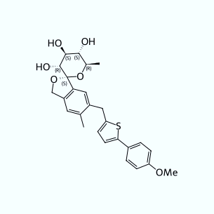 COc1ccc(-c2ccc(Cc3cc4c(cc3C)CO[C@]43O[C@H](C)[C@@H](O)[C@H](O)[C@H]3O)s2)cc1